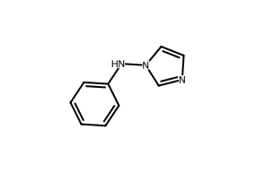 c1ccc(Nn2ccnc2)cc1